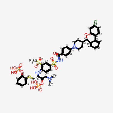 CCN(CC)CC(OP(=O)(O)O)[C@H](CSc1ccccc1OP(=O)(O)O)Nc1ccc(S(=O)(=O)NC(=O)c2ccc(N3CCC([C@@H](O)c4ccccc4-c4ccc(Cl)cc4)CC3)cc2)cc1S(=O)(=O)C(F)(F)F